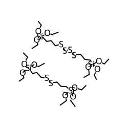 CCO[Si](CCCSSCCC[Si](OCC)(OCC)OCC)(OCC)OCC.CCO[Si](CCCSSSSCCC[Si](OCC)(OCC)OCC)(OCC)OCC